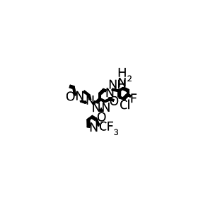 C=CC(=O)N1CCN(c2nc(Oc3cccnc3C(F)(F)F)nc3c(Oc4c(Cl)c(F)cc(N)c4C=N)nccc23)CC1